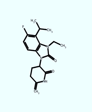 C=C1CCC(n2c(=O)n(CC)c3c(C(C)C)c(F)ccc32)C(=O)N1